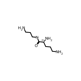 NCCC[N]C(=O)[C@@H](N)CCCN